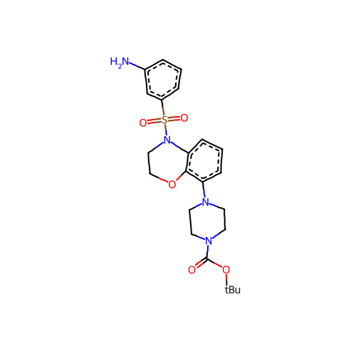 CC(C)(C)OC(=O)N1CCN(c2cccc3c2OCCN3S(=O)(=O)c2cccc(N)c2)CC1